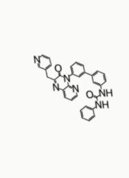 O=C(Nc1ccccc1)Nc1cccc(-c2cccc(-n3c(=O)c(Cc4cccnc4)nc4cccnc43)c2)c1